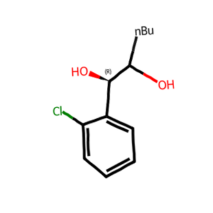 CCCCC(O)[C@H](O)c1ccccc1Cl